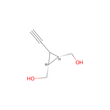 C#CC1[C@@H](CO)[C@H]1CO